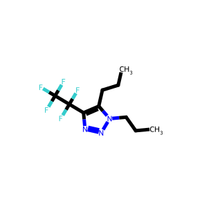 CCCc1c(C(F)(F)C(F)(F)F)nnn1CCC